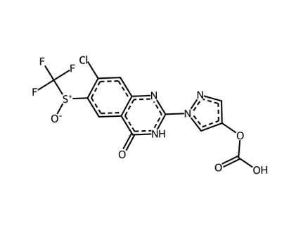 O=C(O)Oc1cnn(-c2nc3cc(Cl)c([S+]([O-])C(F)(F)F)cc3c(=O)[nH]2)c1